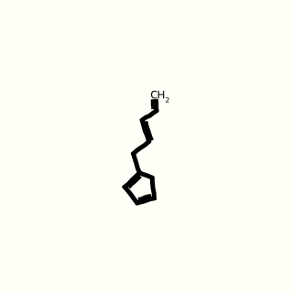 C=CC=CCC1=CC=CC1